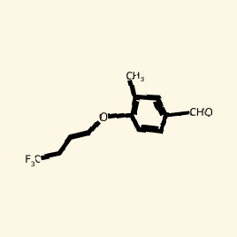 Cc1cc(C=O)ccc1OCCCC(F)(F)F